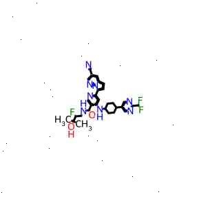 CC(C)(O)C(F)CNC(=O)c1cnc(-c2ccc3cc(C#N)cnn23)cc1NC1CCC(c2cnc(C(F)F)nc2)CC1